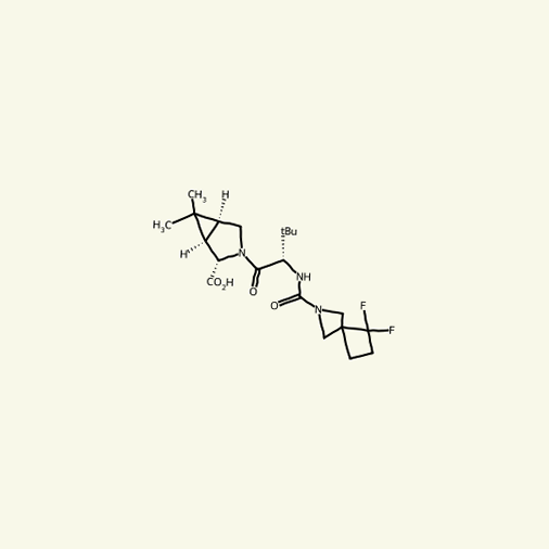 CC(C)(C)[C@H](NC(=O)N1CC2(CCC2(F)F)C1)C(=O)N1C[C@H]2[C@@H]([C@H]1C(=O)O)C2(C)C